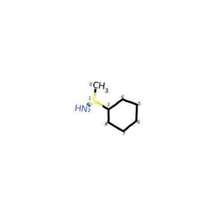 CS(=N)C1CCCCC1